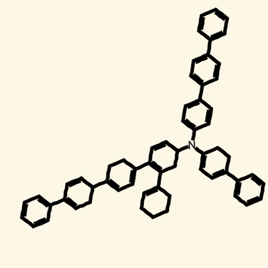 C1=CC(C2=CC=C(C3=C(C4=CCCCC4)CC(N(C4=CC=C(c5ccccc5)CC4)c4ccc(-c5ccc(-c6ccccc6)cc5)cc4)C=C3)CC2)CC=C1c1ccccc1